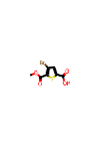 COC(=O)c1sc(C(=O)O)cc1Br